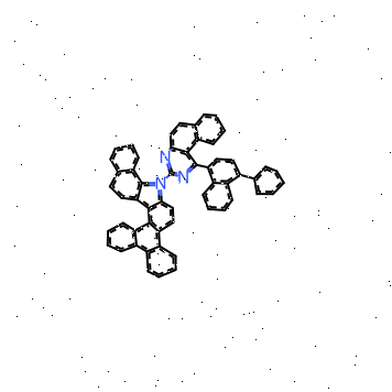 c1ccc(-c2ccc(-c3nc(-n4c5ccc6c7ccccc7c7ccccc7c6c5c5ccc6ccccc6c54)nc4ccc5ccccc5c34)c3ccccc23)cc1